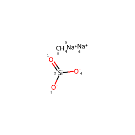 C.O=[Si]([O-])[O-].[Na+].[Na+]